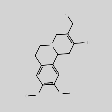 CCC1=C(C)CC2c3cc(OC)c(OC)cc3CCN2C1